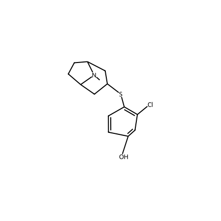 CN1C2CCC1CC(Sc1ccc(O)cc1Cl)C2